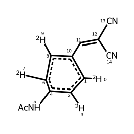 [2H]c1c([2H])c(NC(C)=O)c([2H])c([2H])c1C=C(C#N)C#N